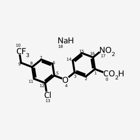 O=C(O)c1cc(Oc2ccc(CC(F)(F)F)cc2Cl)ccc1[N+](=O)[O-].[NaH]